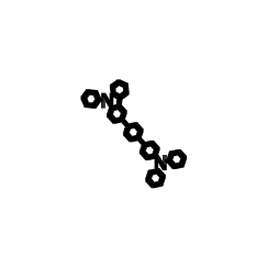 c1ccc(N(c2ccccc2)c2ccc(-c3ccc(-c4ccc5c(c4)c4ccccc4n5-c4ccccc4)cc3)cc2)cc1